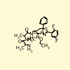 CCON(C)C(=O)N1N=C(c2cc(F)ccc2F)SC1(CCCNC(=O)C(C)NC(=O)C(C)N)c1ccccc1